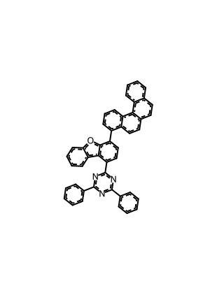 c1ccc(-c2nc(-c3ccccc3)nc(-c3ccc(-c4cccc5c4ccc4ccc6ccccc6c45)c4oc5ccccc5c34)n2)cc1